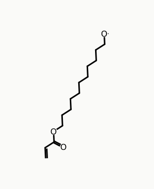 C=CC(=O)OCCCCCCCCCCC[O]